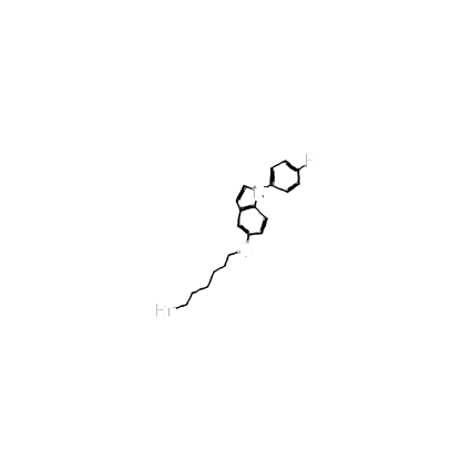 Fc1ccc(-n2ccc3cc(OCCCCCCBr)ccc32)cc1